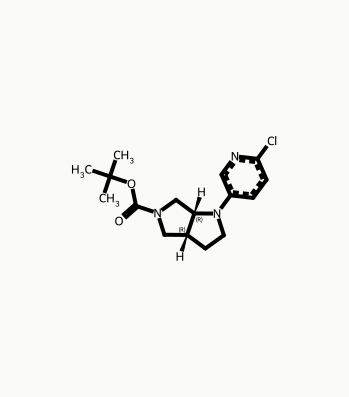 CC(C)(C)OC(=O)N1C[C@H]2CCN(c3ccc(Cl)nc3)[C@H]2C1